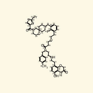 Cc1ccc(CN(CCNCCc2ccc(O)c3c2OCC(=O)N3)C(=O)CCOCCc2cccc(CN3CCC4(CC3)CN(C(=O)c3csc(C(C)C)n3)CCO4)c2F)cc1